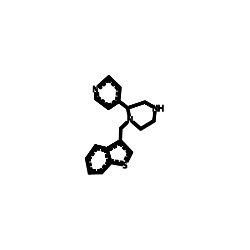 c1ccc2c(CN3CCNCC3c3ccncc3)csc2c1